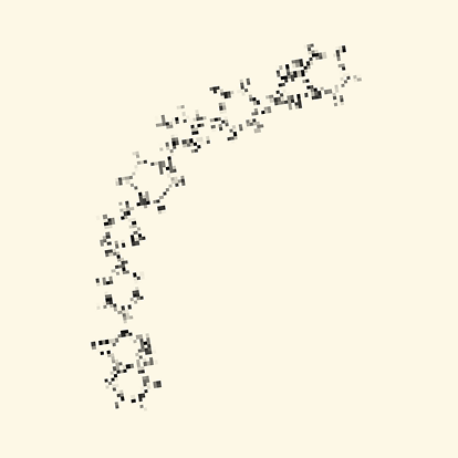 c1ccc2oc(-c3ccc(-c4ccc(N5CCN(c6ccc(-c7ccc(-c8nc9ccccc9o8)cc7)s6)CC5)s4)cc3)nc2c1